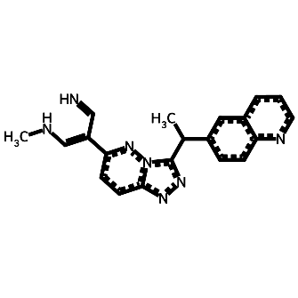 CN/C=C(\C=N)c1ccc2nnc(C(C)c3ccc4ncccc4c3)n2n1